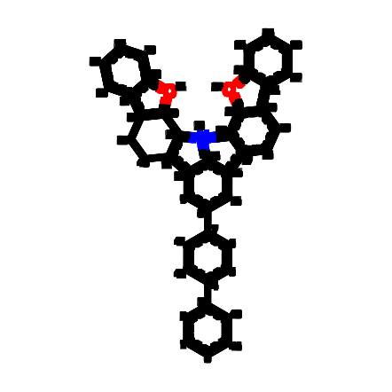 c1ccc(-c2ccc(-c3cc4c5c(n6c4c(c3)c3ccc4c7ccccc7oc4c36)-c3oc4ccccc4c3CC5)cc2)cc1